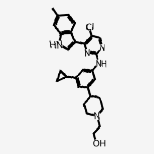 Cc1ccc2c(-c3nc(Nc4cc(C5CC5)cc(C5CCN(CCO)CC5)c4)ncc3Cl)c[nH]c2c1